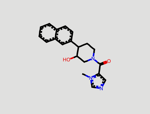 Cn1cncc1C(=O)N1CCC(c2ccc3ccccc3c2)C(O)C1